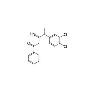 C[C](C(=N)CC(=O)c1ccccc1)c1ccc(Cl)c(Cl)c1